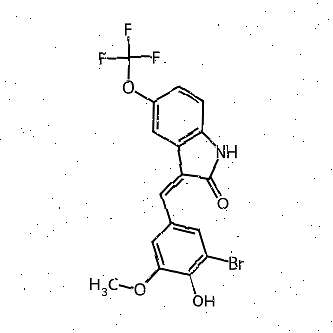 COc1cc(C=C2C(=O)Nc3ccc(OC(F)(F)F)cc32)cc(Br)c1O